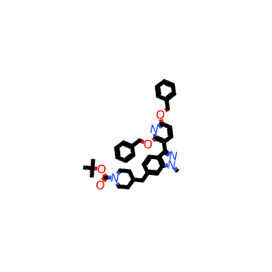 Cn1nc(-c2ccc(OCc3ccccc3)nc2OCc2ccccc2)c2ccc(CC3CCN(C(=O)OC(C)(C)C)CC3)cc21